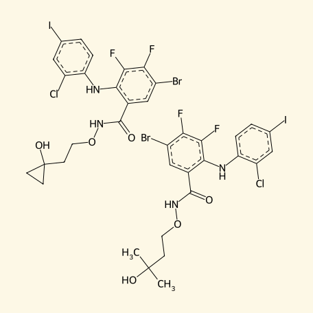 CC(C)(O)CCONC(=O)c1cc(Br)c(F)c(F)c1Nc1ccc(I)cc1Cl.O=C(NOCCC1(O)CC1)c1cc(Br)c(F)c(F)c1Nc1ccc(I)cc1Cl